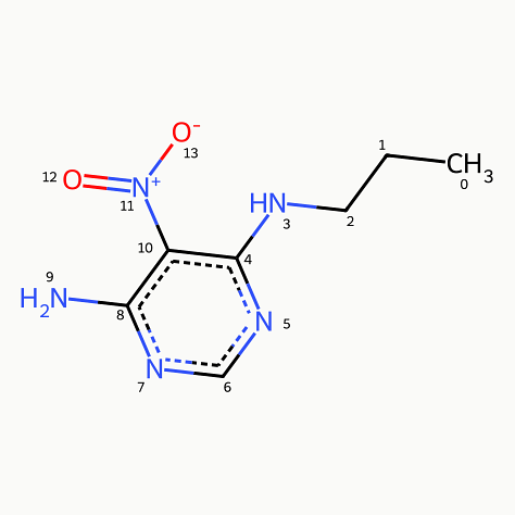 CCCNc1ncnc(N)c1[N+](=O)[O-]